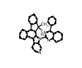 CC1(C)c2ccccc2-c2c1c1c(c3ccccc23)c2ccncc2n1-c1nc(-c2ccccc2)c2ccccc2n1